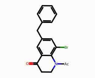 CC(=O)N1CCC(=O)c2cc(Cc3ccccc3)cc(Br)c21